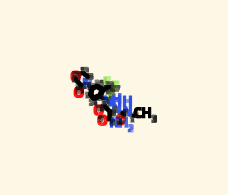 CCNC(=O)N[C@H](C(N)=O)C(=O)Nc1ccc(N2CCOCC2=O)cc1C(F)(F)F